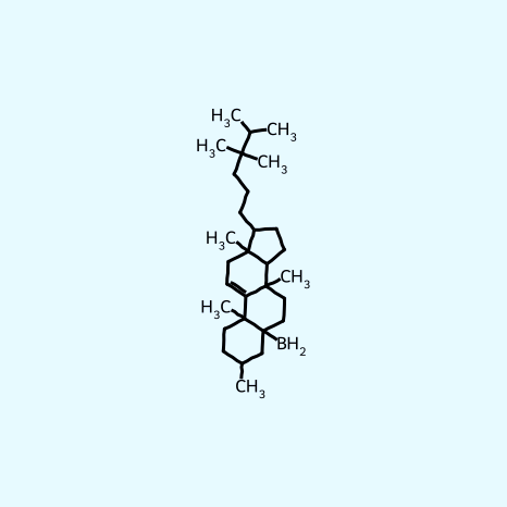 BC12CCC3(C)C(=CCC4(C)C(CCCC(C)(C)C(C)C)CCC34)C1(C)CCC(C)C2